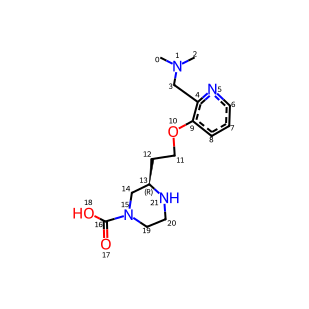 CN(C)Cc1ncccc1OCC[C@@H]1CN(C(=O)O)CCN1